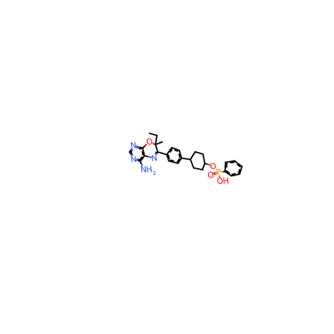 CCC1(C)Oc2ncnc(N)c2N=C1c1ccc(C2CCC(OP(=O)(O)c3ccccc3)CC2)cc1